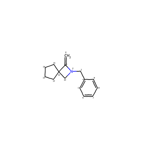 C=C1N(Cc2ccccc2)CC12CCCC2